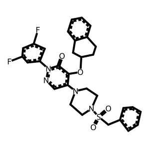 O=c1c(OC2CCc3ccccc3C2)c(N2CCN(S(=O)(=O)Cc3ccccc3)CC2)cnn1-c1cc(F)cc(F)c1